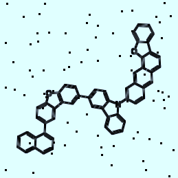 c1ccc2c(-c3ccc4oc5ccc(-c6ccc7c(c6)c6ccccc6n7-c6ccc7cc8ccc9c%10ccccc%10oc9c8cc7c6)cc5c4c3)cccc2c1